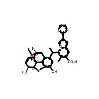 Cc1c(C(=O)O)cc2cc(-c3nccs3)cn2c1C(C)c1cc(O)c2c3c1C[C@@H]1[C@@H]4C=C[C@H](O)[C@H](O2)[C@]34CCN1C